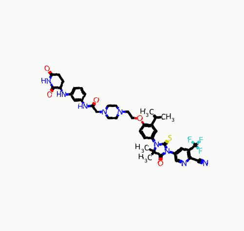 CC(C)c1cc(N2C(=S)N(c3cnc(C#N)c(C(F)(F)F)c3)C(=O)C2(C)C)ccc1OCCN1CCN(CC(=O)Nc2cccc(NC3CCC(=O)NC3=O)c2)CC1